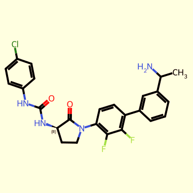 CC(N)c1cccc(-c2ccc(N3CC[C@@H](NC(=O)Nc4ccc(Cl)cc4)C3=O)c(F)c2F)c1